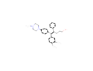 Cc1ccc(/C(=C(\CCCO)c2ccccc2)c2ccc(N3CCN(C)CC3)cc2)cc1C